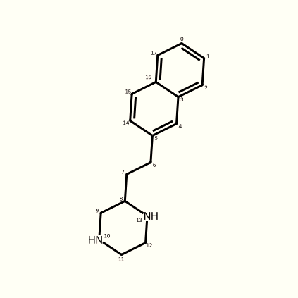 c1ccc2cc(CCC3CNCCN3)ccc2c1